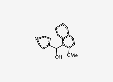 COc1ccc2ccccc2c1C(O)c1ccncc1